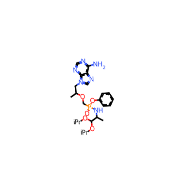 CC(C)OC(OC(C)C)C(C)NP(=O)(COC(C)Cn1cnc2c(N)ncnc21)Oc1ccccc1